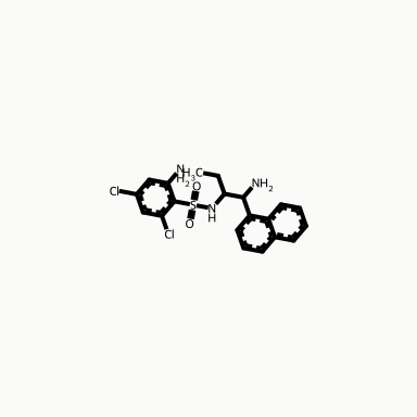 CCC(NS(=O)(=O)c1c(N)cc(Cl)cc1Cl)C(N)c1cccc2ccccc12